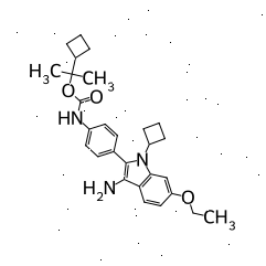 CCOc1ccc2c(N)c(-c3ccc(NC(=O)OC(C)(C)C4CCC4)cc3)n(C3CCC3)c2c1